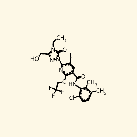 CCn1c(CO)nn(-c2nc(OCC(F)(F)F)c(C(=O)Nc3c(Cl)ccc(C)c3C)cc2F)c1=O